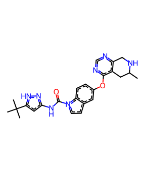 CC1Cc2c(ncnc2Oc2ccc3c(ccn3C(=O)Nc3cc(C(C)(C)C)[nH]n3)c2)CN1